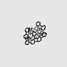 CC(C)(C)c1c(-n2c3ccccc3c3ccc4c5ccccc5oc4c32)c(C#N)c(C(C)(C)n2c3ccccc3c3ccccc32)c(C#N)c1-n1c2ccccc2c2ccc3c4ccccc4oc3c21